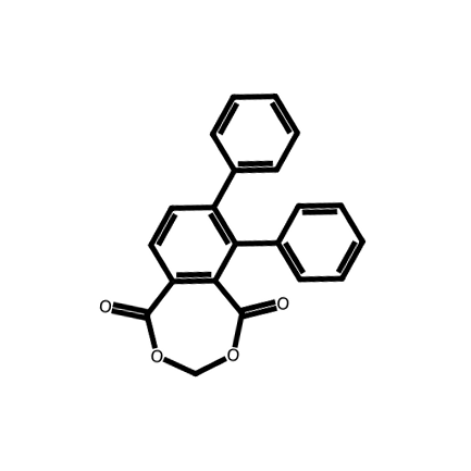 O=C1OCOC(=O)c2c1ccc(-c1ccccc1)c2-c1ccccc1